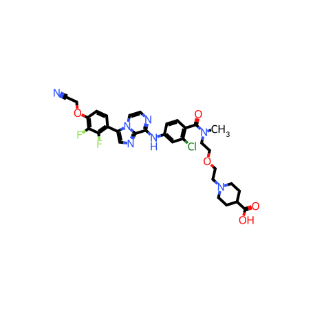 CN(CCOCCN1CCC(C(=O)O)CC1)C(=O)c1ccc(Nc2nccn3c(-c4ccc(OCC#N)c(F)c4F)cnc23)cc1Cl